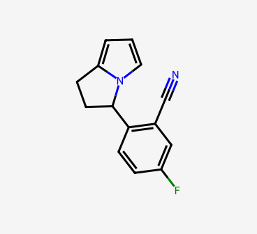 N#Cc1cc(F)ccc1C1CCc2cccn21